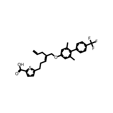 C=CCC(=CCCc1ccc(C(=O)O)s1)COc1cc(C)c(-c2ccc(C(F)(F)F)cc2)c(C)c1